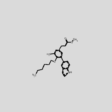 CCCCCCOc1c(N)cc(CCC(=O)OC)cc1-c1ccc2[nH]ccc2c1